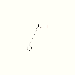 C=C(CCCCCCCCCC1CCCCC1)C(=O)O